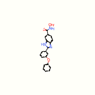 O=C(NO)c1ccc2nc(-c3cccc(Oc4ccccc4)c3)[nH]c2c1